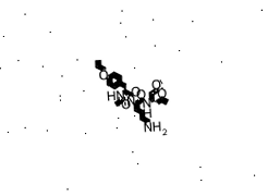 C=CCOc1ccc(C[C@H](NC(C)=O)C(=O)N/C(=C/CCCN)C(=O)N[C@@H](CC=C)CC(=O)OC)cc1